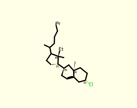 CC[C@]1(C)C(C(C)CCCC(C)C)CC[C@H]1[C@@H]1CC=C2C[C@@H](Cl)CC[C@]2(C)C1